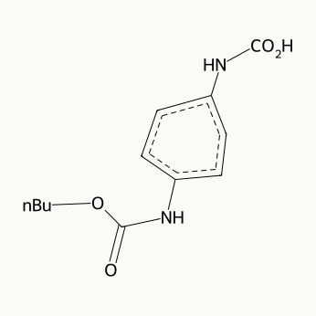 CCCCOC(=O)Nc1ccc(NC(=O)O)cc1